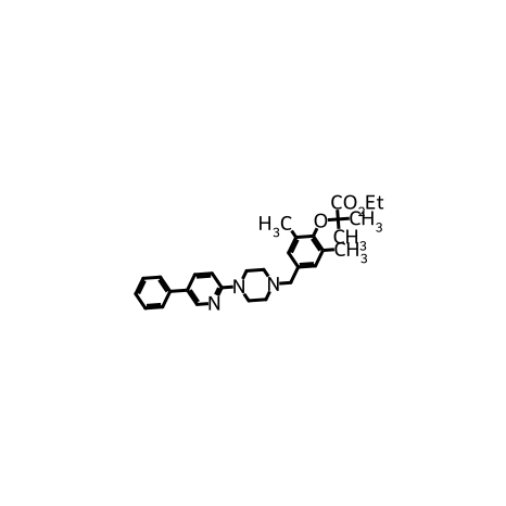 CCOC(=O)C(C)(C)Oc1c(C)cc(CN2CCN(c3ccc(-c4ccccc4)cn3)CC2)cc1C